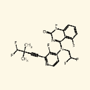 CC(C)(C#Cc1nccc(N(CC(F)F)c2nc(=O)[nH]c3cccc(F)c23)c1F)C(F)F